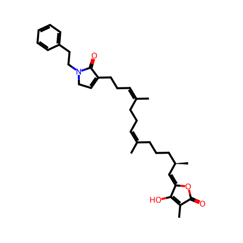 CC1=C(O)/C(=C/[C@H](C)CCC/C(C)=C\CC/C(C)=C\CCC2=CCN(CCc3ccccc3)C2=O)OC1=O